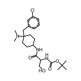 CN(C)C1(Cc2cccc(Cl)c2)CCC(NC(=O)C(CO)NC(=O)OC(C)(C)C)CC1